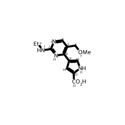 CCNc1ncc(COC)c(-c2c[nH]c(C(=O)O)c2)n1